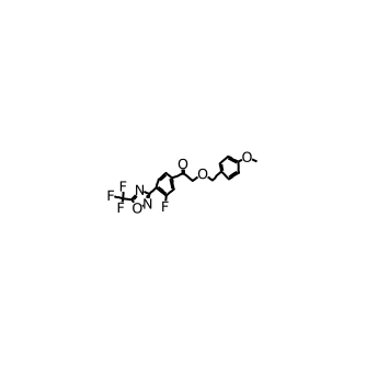 COc1ccc(COCC(=O)c2ccc(-c3noc(C(F)(F)F)n3)c(F)c2)cc1